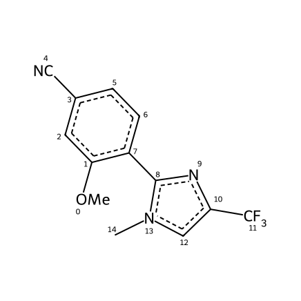 COc1cc(C#N)ccc1-c1nc(C(F)(F)F)cn1C